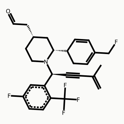 C=C(C)C#C[C@@H](c1cc(F)ccc1C(F)(F)F)N1CC[C@H](CC=O)C[C@@H]1C1C=CC(CF)=CC1